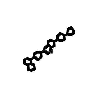 c1ccc(-c2ccc(-c3ccc4cc(-c5ccc(-c6cccc7ccccc67)cc5)cnc4c3)cc2)cc1